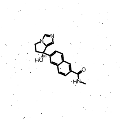 CNC(=O)c1ccc2cc([C@]3(O)CCn4cncc43)ccc2c1